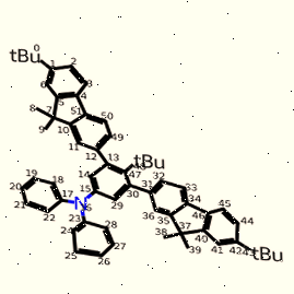 CC(C)(C)c1ccc2c(c1)C(C)(C)c1cc(-c3cc(N(c4ccccc4)c4ccccc4)cc(-c4ccc5c(c4)C(C)(C)c4cc(C(C)(C)C)ccc4-5)c3C(C)(C)C)ccc1-2